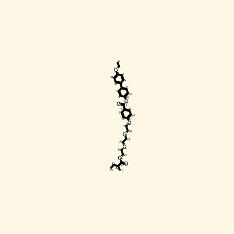 CCOc1ccc(-c2ccc(OC(=O)c3ccc(OCCOCCOCCOC(=O)C(C)CC)cc3)cc2)cc1